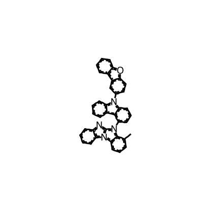 Cc1cccc2c1n(-c1cccc3c1c1ccccc1n3-c1ccc3oc4ccccc4c3c1)c1nc3ccccc3n21